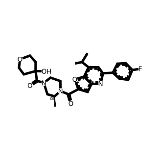 CC(C)c1cc(-c2ccc(F)cc2)nc2cc(C(=O)N3CCN(C(=O)C4(O)CCOCC4)C[C@@H]3C)oc12